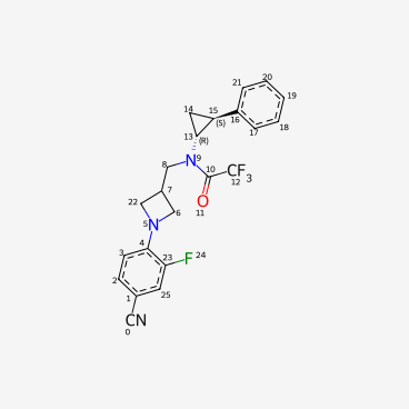 N#Cc1ccc(N2CC(CN(C(=O)C(F)(F)F)[C@@H]3C[C@H]3c3ccccc3)C2)c(F)c1